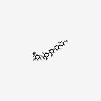 CCCCC1CCC(c2ccc(-c3ccc(-c4cc(F)c(C(F)(F)Oc5ccc(OC(F)(F)F)c(F)c5)c(F)c4)c(F)c3)cc2)CC1